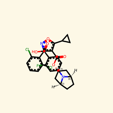 O=C(O)c1ccc(N2[C@@H]3CC[C@H]2C[C@H](OC(=O)c2c(-c4c(Cl)cccc4Cl)noc2C2CC2)C3)cc1F